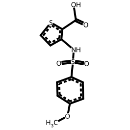 COc1ccc(S(=O)(=O)Nc2ccsc2C(=O)O)cc1